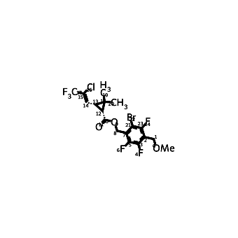 COCc1c(F)c(F)c(COC(=O)[C@@H]2[C@H](/C=C(\Cl)C(F)(F)F)C2(C)C)c(Br)c1F